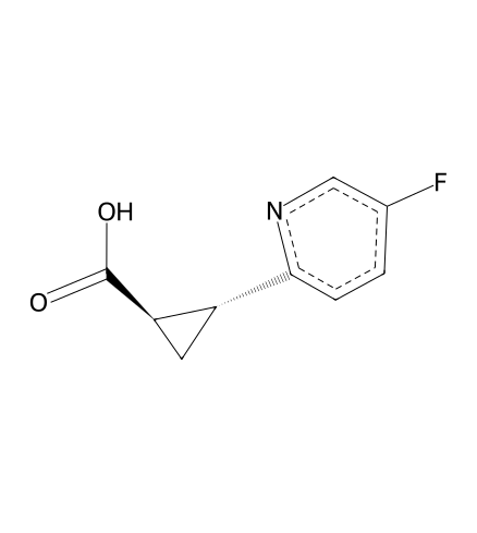 O=C(O)[C@@H]1C[C@H]1c1ccc(F)cn1